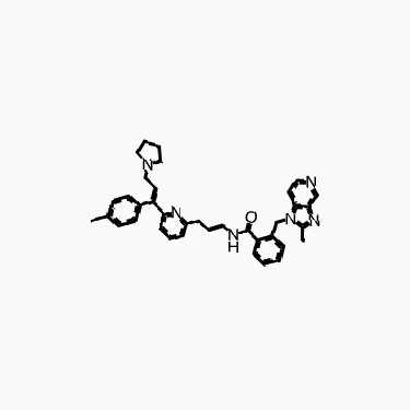 Cc1ccc(C(=CCN2CCCC2)c2cccc(CC=CNC(=O)c3ccccc3Cn3c(C)nc4cnccc43)n2)cc1